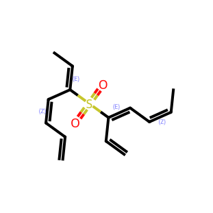 C=C/C=C\C(=C/C)S(=O)(=O)/C(C=C)=C/C=C\C